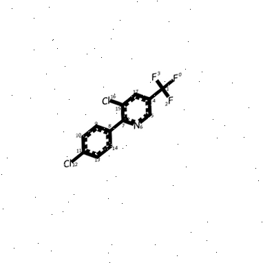 FC(F)(F)c1cnc(-c2c[c]c(Cl)cc2)c(Cl)c1